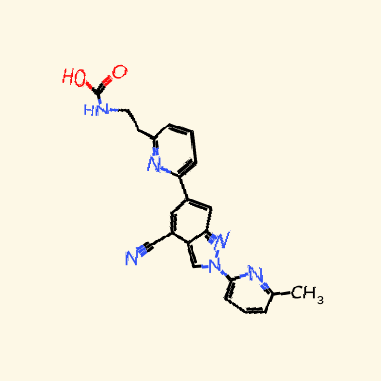 Cc1cccc(-n2cc3c(C#N)cc(-c4cccc(CCNC(=O)O)n4)cc3n2)n1